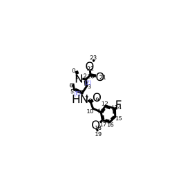 C=N/C(=C\C(=C/C)NC(=O)Cc1cc(F)ccc1OC)C(=O)OC